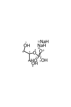 O=P(O)(O)OC(CO)CO.[NaH].[NaH]